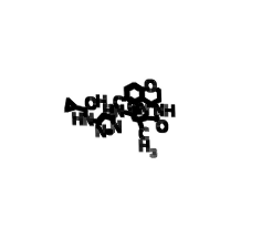 Cc1ccc2c(c1)C1(CCO2)NC(=O)c2c(C)cc(Nc3cc(NC(=O)C4CC4)ncn3)c(=O)n21